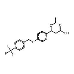 CCOC(CC(=O)O)c1ccc(OCc2ccc(C(F)(F)F)cc2)cc1